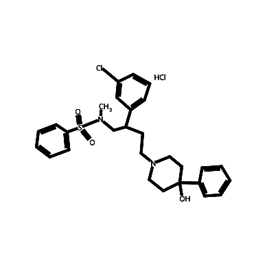 CN(CC(CCN1CCC(O)(c2ccccc2)CC1)c1cccc(Cl)c1)S(=O)(=O)c1ccccc1.Cl